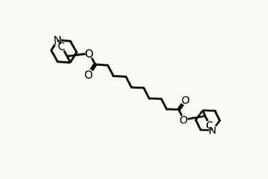 O=C(CCCCCCCCC(=O)OC1CN2CCC1CC2)OC1CN2CCC1CC2